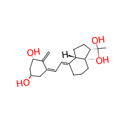 C=C1C(=CC=C2CCC[C@]3(C)[C@@H](C(C)(O)O)CC[C@@H]23)C[C@@H](O)C[C@@H]1O